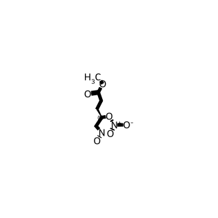 COC(=O)CC[C@H](CN=O)O[N+](=O)[O-]